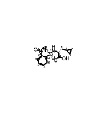 O=C(O)[C@@H](CC1CC1)NS(=O)(=O)c1ccccc1[N+](=O)[O-]